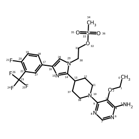 CCOc1c(N)ncnc1N1CCC(c2nc(-c3ccc(F)c(C(F)(F)F)c3)cn2CCOS(C)(=O)=O)CC1